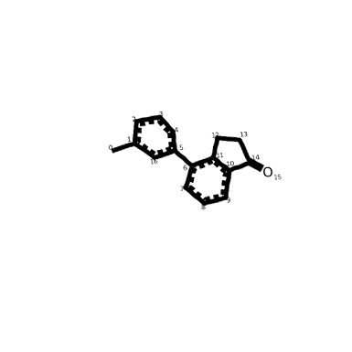 Cc1cccc(-c2cccc3c2CCC3=O)c1